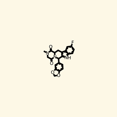 CN1CC(=O)N2C(Cc3c([nH]c4ccc(F)cc34)C2c2ccc3c(c2)OCO3)C1=O